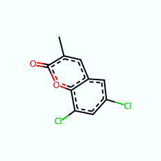 Cc1cc2cc(Cl)cc(Cl)c2oc1=O